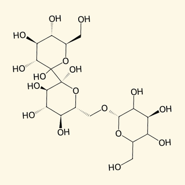 OCC1O[C@H](OC[C@H]2O[C@](O)(C3(O)O[C@H](CO)[C@@H](O)[C@H](O)[C@H]3O)[C@H](O)[C@@H](O)[C@@H]2O)C(O)[C@@H](O)C1O